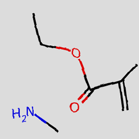 C=C(C)C(=O)OCC.CN